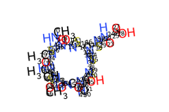 CNC(=O)C[C@@H]1NC(=O)c2csc(n2)-c2ccc(-c3nc(NC(=O)CCC(=O)O)cs3)nc2-c2csc(n2)-c2csc(n2)[C@H]([C@@H](O)c2ccccc2)NC(=O)CNC(=O)c2nc(sc2COC)[C@H](C(C)C)NC(=O)c2nc1sc2C